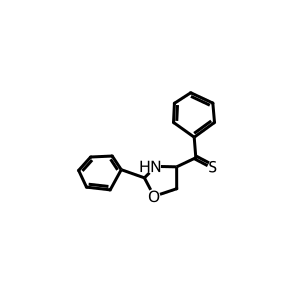 S=C(c1ccccc1)C1COC(c2ccccc2)N1